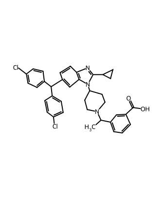 CC(c1cccc(C(=O)O)c1)N1CCC(n2c(C3CC3)nc3ccc(C(c4ccc(Cl)cc4)c4ccc(Cl)cc4)cc32)CC1